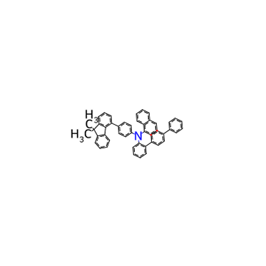 CC1(C)c2ccccc2-c2c(-c3ccc(N(c4ccccc4-c4ccc(-c5ccccc5)cc4)c4cccc5ccccc45)cc3)cccc21